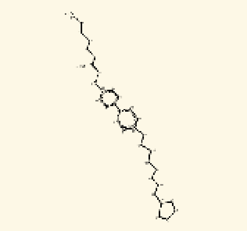 CCCCCC[C@@H](F)COc1ccc(-c2ncc(CCCCCCCCC3CCCC3)cn2)cc1